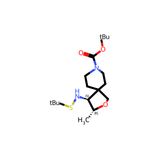 C[C@H]1OCC2(CCN(C(=O)OC(C)(C)C)CC2)[C@@H]1NSC(C)(C)C